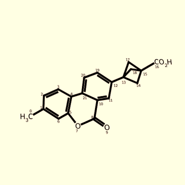 Cc1ccc2c(c1)oc(=O)c1cc(C34CC(C(=O)O)(C3)C4)ccc12